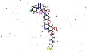 COc1cc2c(Oc3ccc(NC(=O)C4(C(=O)Nc5ccc(F)cc5)CC4)cc3F)ccnc2cc1OCC/C=C/CCS